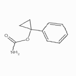 NC(=O)OC1(c2ccccc2)CC1